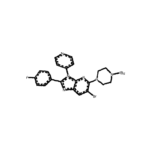 CC(C)(C)N1CCN(c2nc3c(cc2Br)nc(-c2ccc(F)cc2)n3-c2ccncc2)CC1